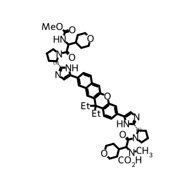 CCC1(CC)c2ccc(-c3cnc([C@@H]4CCCN4C(=O)C(C4CCOCC4)N(C)C(=O)O)[nH]3)cc2Oc2cc3ccc(-c4cnc([C@@H]5CCCN5C(=O)C(NC(=O)OC)C5CCOCC5)[nH]4)cc3cc21